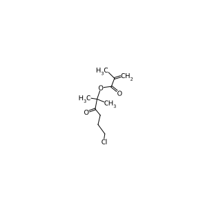 C=C(C)C(=O)OC(C)(C)C(=O)CCCCl